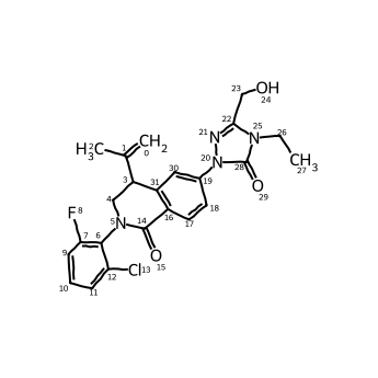 C=C(C)C1CN(c2c(F)cccc2Cl)C(=O)c2ccc(-n3nc(CO)n(CC)c3=O)cc21